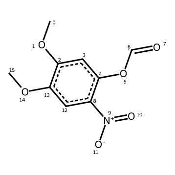 COc1cc(O[C]=O)c([N+](=O)[O-])cc1OC